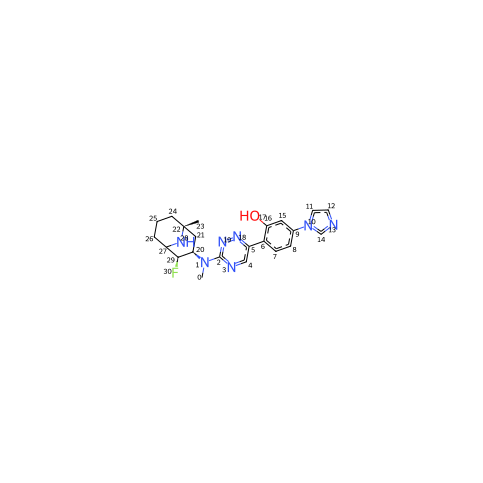 CN(c1ncc(-c2ccc(-n3ccnc3)cc2O)nn1)[C@@H]1C[C@@]2(C)CCCC(N2)[C@@H]1F